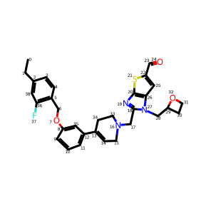 CCc1ccc(COc2cccc(C3=CCN(Cc4nc5sc(C=O)cc5n4CC4CCO4)CC3)c2)c(F)c1